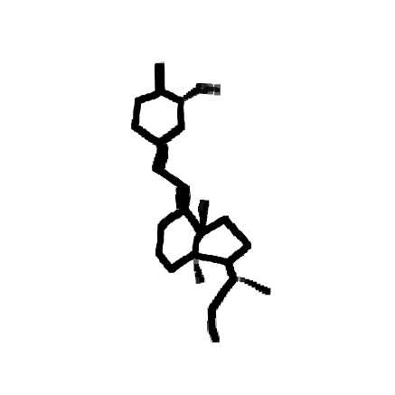 C=C1CC/C(=C/C=C2\CCC[C@]3(C)C([C@H](C)CC)CC[C@@H]23)C[C@H]1O